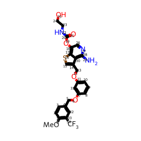 COc1ccc(COc2cccc(OCc3csc4c(OC(=O)NCCO)cnc(N)c34)c2)cc1C(F)(F)F